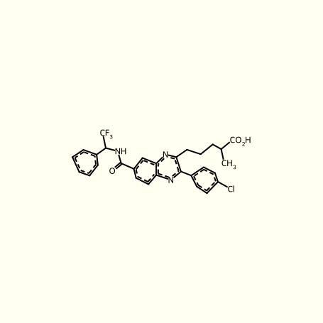 CC(CCCc1nc2cc(C(=O)NC(c3ccccc3)C(F)(F)F)ccc2nc1-c1ccc(Cl)cc1)C(=O)O